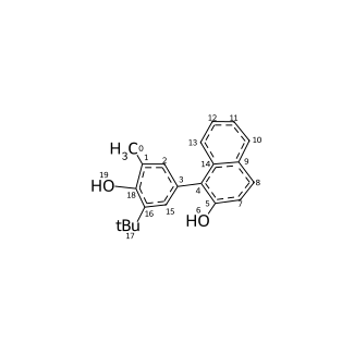 Cc1cc(-c2c(O)ccc3ccccc23)cc(C(C)(C)C)c1O